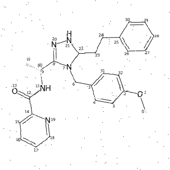 COc1ccc(CN2C([C@@H](C)NC(=O)c3ccccn3)=NNC2CCc2ccccc2)cc1